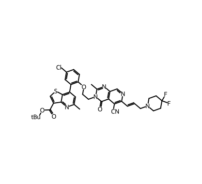 Cc1cc(-c2cc(Cl)ccc2OCCn2c(C)nc3cnc(/C=C/CN4CCC(F)(F)CC4)c(C#N)c3c2=O)c2scc(C(=O)OC(C)(C)C)c2n1